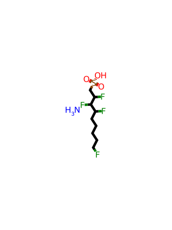 N.O=S(=O)(O)CC(F)C(F)C(F)CCCCCF